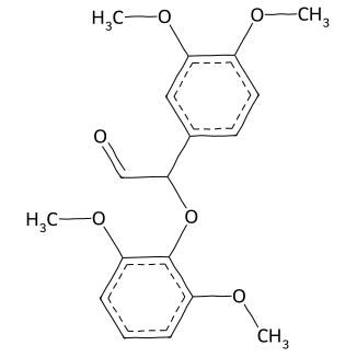 COc1ccc(C(C=O)Oc2c(OC)cccc2OC)cc1OC